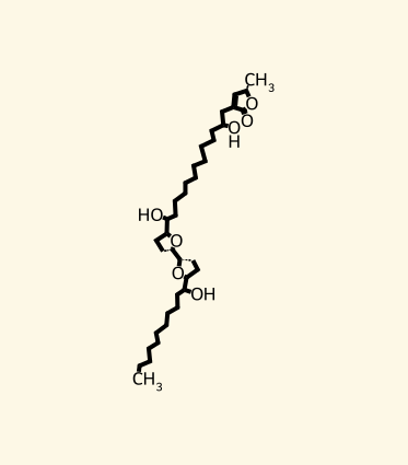 CCCCCCCCCCC(O)C1CC[C@@H]([C@@H]2CCC(C(O)CCCCCCCCCCC(O)CC3=C[C@H](C)OC3=O)O2)O1